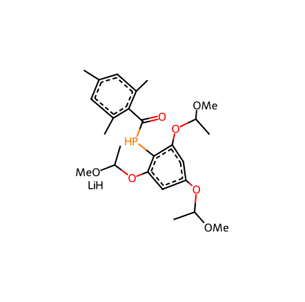 COC(C)Oc1cc(OC(C)OC)c(PC(=O)c2c(C)cc(C)cc2C)c(OC(C)OC)c1.[LiH]